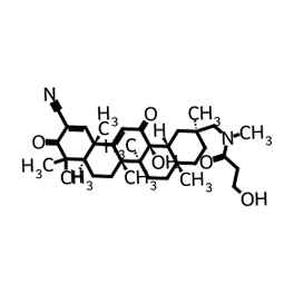 CN(C[C@@]1(C)CC[C@]2(C)CC[C@@]3(C)[C@]4(C)CC[C@H]5C(C)(C)C(=O)C(C#N)=C[C@]5(C)C4=CC(=O)[C@]3(O)[C@@H]2C1)C(=O)CCO